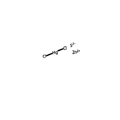 [Cl][Hg][Cl].[S-2].[Zn+2]